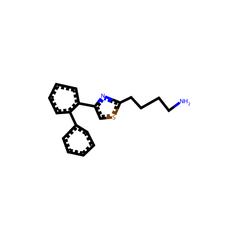 NCCCCc1nc(-c2ccccc2-c2ccccc2)cs1